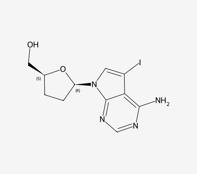 Nc1ncnc2c1c(I)cn2[C@H]1CC[C@@H](CO)O1